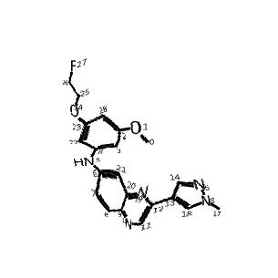 COc1cc(Nc2ccc3ncc(-c4cnn(C)c4)nc3c2)cc(OCCF)c1